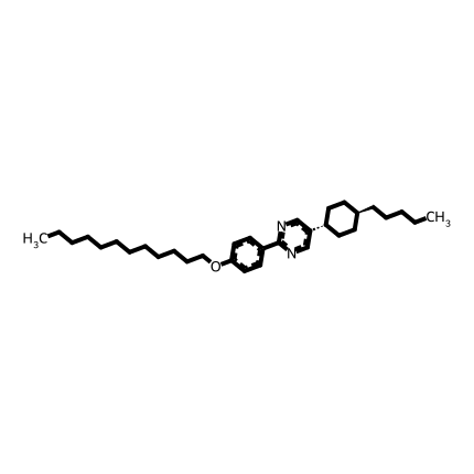 CCCCCCCCCCCCOc1ccc(-c2ncc([C@H]3CC[C@H](CCCCC)CC3)cn2)cc1